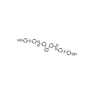 CC(C)(c1ccc(O)cc1)c1ccc(OC(=O)c2cccc(-c3ccsc3-c3cccc(C(=O)Oc4ccc(C(C)(C)c5ccc(O)cc5)cc4)c3)c2)cc1